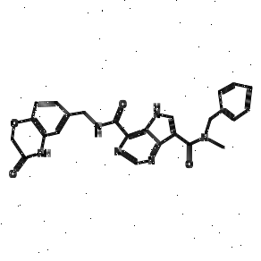 CN(Cc1ccccc1)C(=O)c1c[nH]c2c(C(=O)NCc3ccc4c(c3)NC(=O)CO4)ncnc12